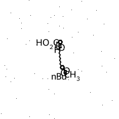 CCCCC(C)OC(=O)c1ccc(CCCCCCCC[C@@H](F)C(=O)Oc2ccccc2C(=O)O)cc1